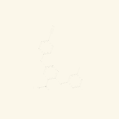 Cc1cc(F)cc(Nc2ncc(Nc3ccc(C#N)cc3)cc2C(N)=O)c1